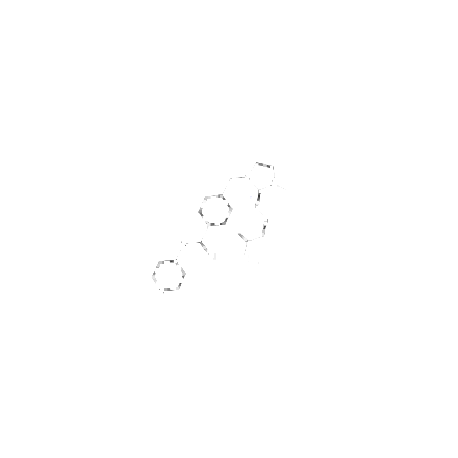 C=C(C)/C=C\C=C1/N(C)C=CN1Cc1ccc(C(=N)Nc2ccncc2)cc1